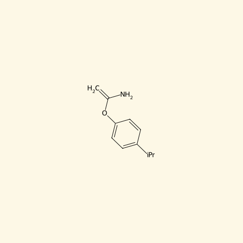 C=C(N)Oc1ccc(C(C)C)cc1